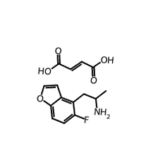 CC(N)Cc1c(F)ccc2occc12.O=C(O)C=CC(=O)O